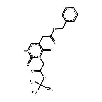 CC(C)(C)OC(=O)Cn1c(=O)[nH]cc(CC(=O)OCc2ccccc2)c1=O